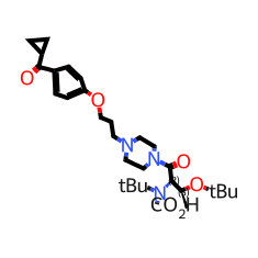 C[C@H](OC(C)(C)C)[C@H](C(=O)N1CCN(CCCOc2ccc(C(=O)C3CC3)cc2)CC1)N(C(=O)O)C(C)(C)C